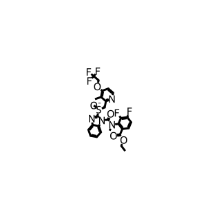 CCOC(=O)c1ccc(F)c(F)c1N(C)C(=O)n1c([S+]([O-])Cc2nccc(OCC(F)(F)F)c2C)nc2ccccc21